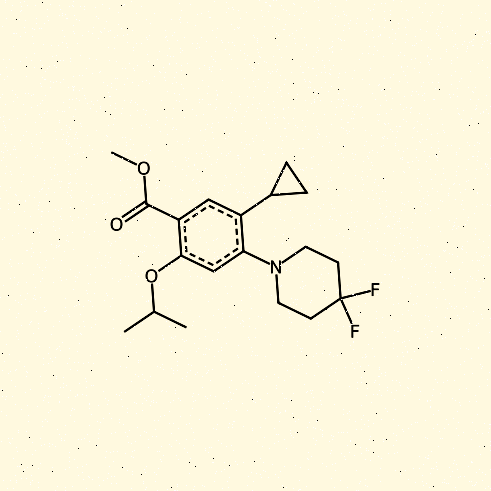 COC(=O)c1cc(C2CC2)c(N2CCC(F)(F)CC2)cc1OC(C)C